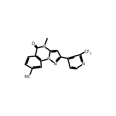 Cn1c(=O)c2ccc(C#N)cc2n2nc(-c3ccnc(C(F)(F)F)c3)cc12